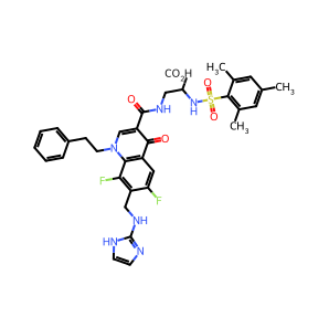 Cc1cc(C)c(S(=O)(=O)NC(CNC(=O)c2cn(CCc3ccccc3)c3c(F)c(CNc4ncc[nH]4)c(F)cc3c2=O)C(=O)O)c(C)c1